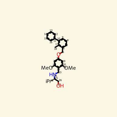 COc1cc(OCc2cccc(-c3ccccc3)c2C)cc(OC)c1CN[C@@H](CO)C(C)C